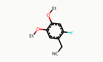 CCOc1cc(F)c(CC#N)cc1OCC